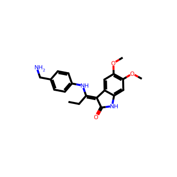 CCC(Nc1ccc(CN)cc1)=C1C(=O)Nc2cc(OC)c(OC)cc21